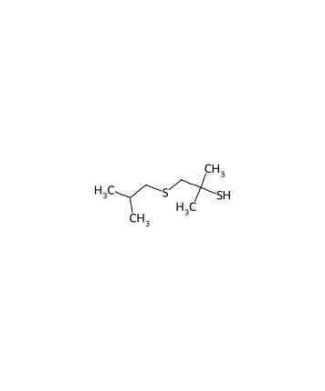 CC(C)CSCC(C)(C)S